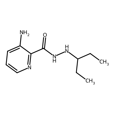 CCC(CC)NNC(=O)c1ncccc1N